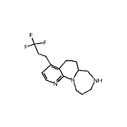 FC(F)(F)CCc1ccnc2c1CCC1CNCCCN21